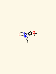 CCCCNC(CN1CCOCC1)c1ccc(OC(C)C)cc1